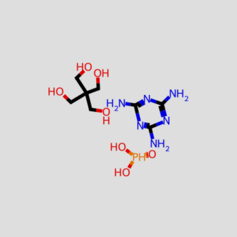 Nc1nc(N)nc(N)n1.O=[PH](O)O.OCC(CO)(CO)CO